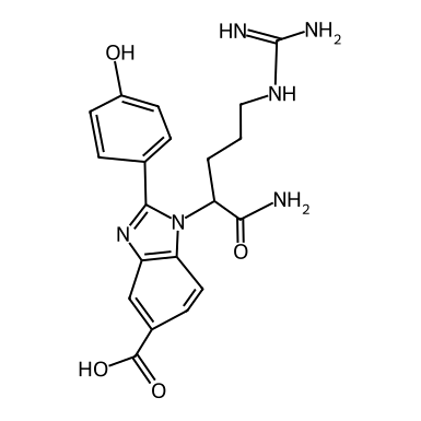 N=C(N)NCCCC(C(N)=O)n1c(-c2ccc(O)cc2)nc2cc(C(=O)O)ccc21